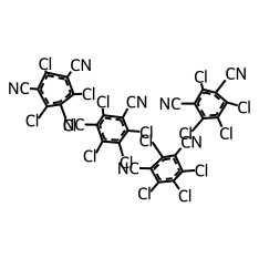 N#Cc1c(Cl)c(Cl)c(Cl)c(C#N)c1Cl.N#Cc1c(Cl)c(Cl)c(Cl)c(C#N)c1Cl.N#Cc1c(Cl)c(Cl)c(Cl)c(C#N)c1Cl.N#Cc1c(Cl)c(Cl)c(Cl)c(C#N)c1Cl